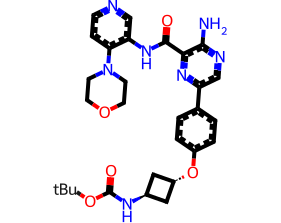 CC(C)(C)OC(=O)N[C@H]1C[C@H](Oc2ccc(-c3cnc(N)c(C(=O)Nc4cnccc4N4CCOCC4)n3)cc2)C1